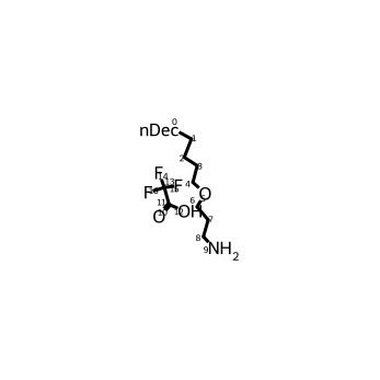 CCCCCCCCCCCCCCOCCCN.O=C(O)C(F)(F)F